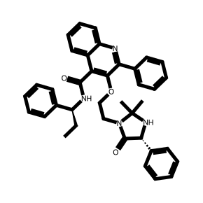 CC[C@H](NC(=O)c1c(OCCN2C(=O)[C@@H](c3ccccc3)NC2(C)C)c(-c2ccccc2)nc2ccccc12)c1ccccc1